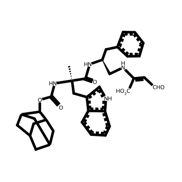 C[C@](Cc1c[nH]c2ccccc12)(NC(=O)OC1C2CC3CC(C2)CC1C3)C(=O)N[C@H](CN/C(=C/C=O)C(=O)O)Cc1ccccc1